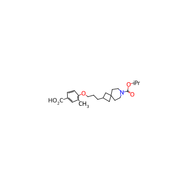 Cc1cc(C(=O)O)ccc1OCCCC1CC2(CCN(C(=O)OC(C)C)CC2)C1